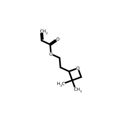 C=CC(=O)OCCC1OCC1(C)C